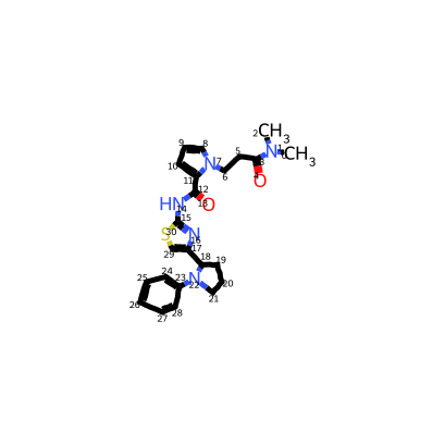 CN(C)C(=O)CCn1cccc1C(=O)Nc1nc(C2CCCN2c2ccccc2)cs1